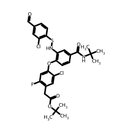 CC(C)(C)NC(=O)c1ccc(Oc2cc(F)c(CC(=O)OC(C)(C)C)cc2Cl)c(NSc2ccc(C=O)cc2Cl)c1